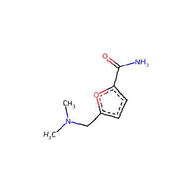 CN(C)Cc1ccc(C(N)=O)o1